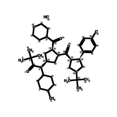 CC1CCC(N(C(=O)C(C)(C)C)[C@H]2C[C@@H](C(=O)N3CCOCC3)N(C(=O)[C@@H]3CN(C(C)(C)C)C[C@H]3c3ccc(Cl)cc3)C2)CC1.Cl